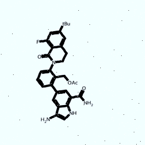 CC(=O)OCc1c(-c2cc(C(N)=O)c3[nH]cc(N)c3c2)cccc1N1CCc2cc(C(C)(C)C)cc(F)c2C1=O